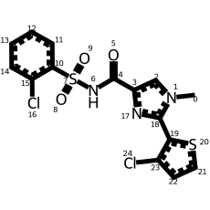 Cn1cc(C(=O)NS(=O)(=O)c2ccccc2Cl)nc1-c1sccc1Cl